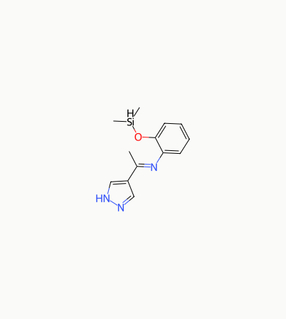 CC(=Nc1ccccc1O[SiH](C)C)c1cn[nH]c1